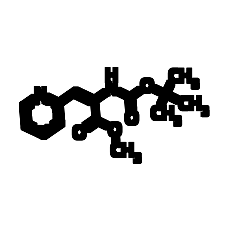 COC(=O)/C(=C\c1ccccn1)NC(=O)OC(C)(C)C